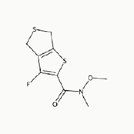 CON(C)C(=O)c1sc2c(c1F)CSC2